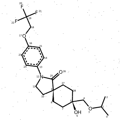 CC(C)OC[C@]1(O)CC[C@]2(CCN(c3ccc(OCC(F)(F)F)cc3)C2=O)CC1